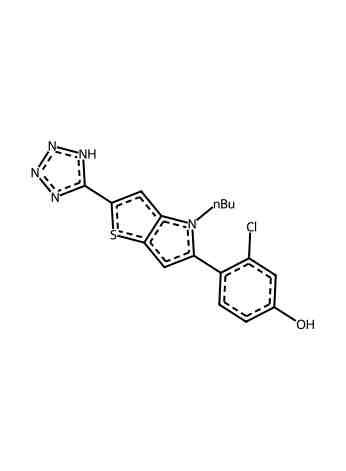 CCCCn1c(-c2ccc(O)cc2Cl)cc2sc(-c3nnn[nH]3)cc21